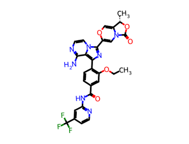 CCOc1cc(C(=O)Nc2cc(C(F)(F)F)ccn2)ccc1-c1nc(C2=CN3C(=O)O[C@@H](C)C3=CO2)n2ccnc(N)c12